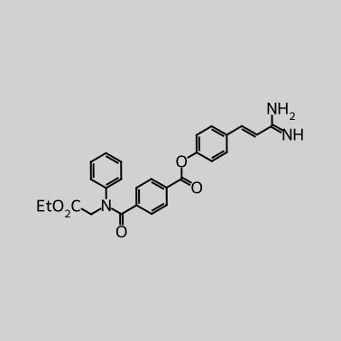 CCOC(=O)CN(C(=O)c1ccc(C(=O)Oc2ccc(C=CC(=N)N)cc2)cc1)c1ccccc1